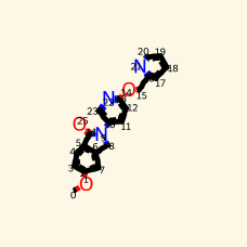 COc1ccc2c(c1)CN(c1ccc(OCc3ccccn3)nc1)C2=O